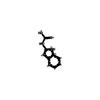 O=C(O)Nc1nc2ncccc2[nH]1